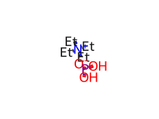 CC[N+](CC)(CC)CC.[O-]P(O)O